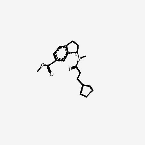 COC(=O)c1ccc2c(c1)[C@H](N(C)C(=O)CCC1CCCC1)CC2